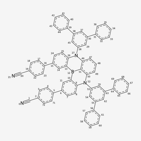 N#Cc1ccc(-c2ccc3c(c2)B2c4cc(-c5ccc(C#N)cc5)ccc4N(c4cc(-c5ccccc5)cc(-c5ccccc5)c4)c4cccc(c42)N3c2cc(-c3ccccc3)cc(-c3ccccc3)c2)cc1